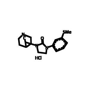 CSc1cccc(N2CCN(C3CN4CCC3CC4)C2=O)c1.Cl